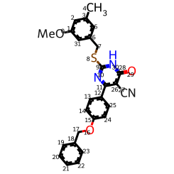 COc1cc(C)cc(CSc2nc(-c3ccc(OCc4ccccc4)cc3)c(C#N)c(=O)[nH]2)c1